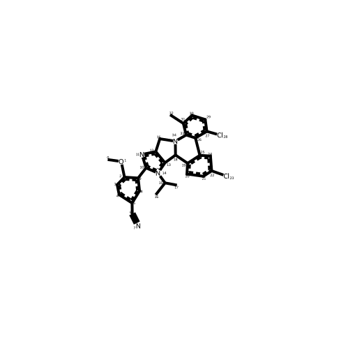 COc1ccc(C#N)cc1-c1nc2c(n1C(C)C)C1c3ccc(Cl)cc3-c3c(Cl)ccc(C)c3N1C2